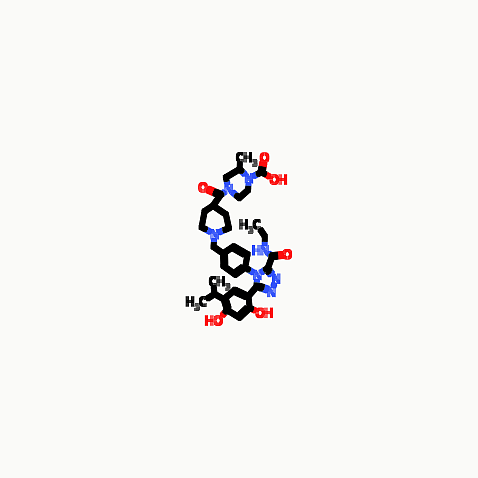 CCNC(=O)c1nnc(-c2cc(C(C)C)c(O)cc2O)n1-c1ccc(CN2CCC(C(=O)N3CCN(C(=O)O)C(C)C3)CC2)cc1